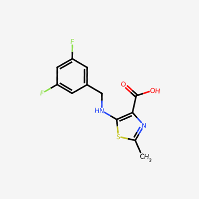 Cc1nc(C(=O)O)c(NCc2cc(F)cc(F)c2)s1